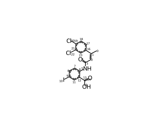 C/C(=C/C(=O)Nc1ccc(I)cc1C(=O)O)c1ccc(Cl)c(Cl)c1